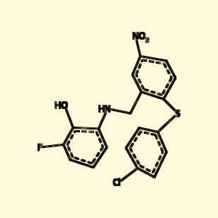 O=[N+]([O-])c1ccc(Sc2ccc(Cl)cc2)c(CNc2cccc(F)c2O)c1